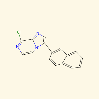 Clc1nccn2c(-c3ccc4ccccc4c3)cnc12